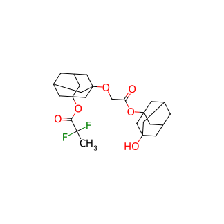 CC(F)(F)C(=O)OC12CC3CC(CC(OCC(=O)OC45CC6CC(CC(O)(C6)C4)C5)(C3)C1)C2